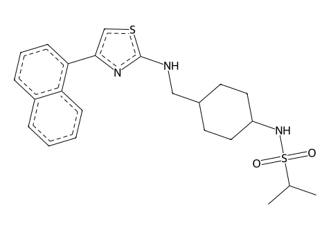 CC(C)S(=O)(=O)NC1CCC(CNc2nc(-c3cccc4ccccc34)cs2)CC1